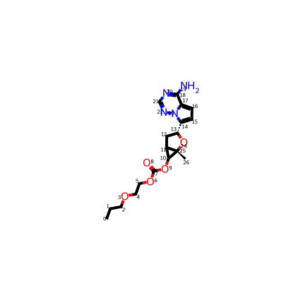 CCCOCCOC(=O)OC1C2C[C@H](c3ccc4c(N)ncnn34)O[C@@]21C